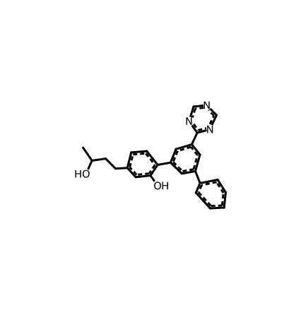 CC(O)CCc1ccc(-c2cc(-c3ccccc3)cc(-c3ncncn3)c2)c(O)c1